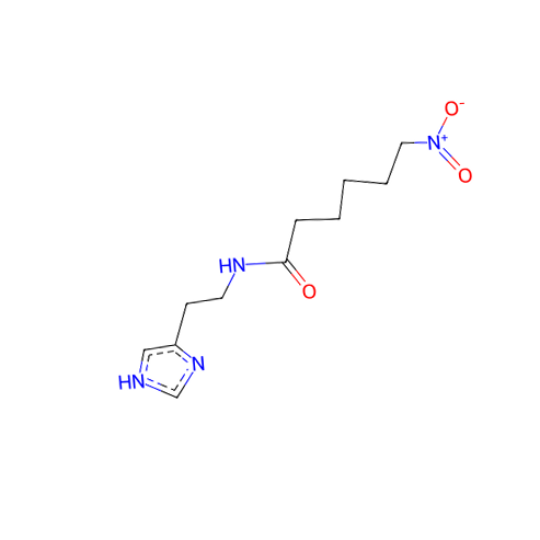 O=C(CCCCC[N+](=O)[O-])NCCc1c[nH]cn1